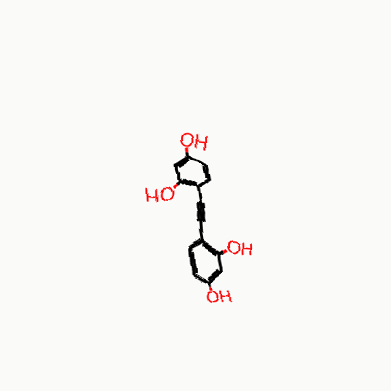 Oc1ccc(C#Cc2ccc(O)cc2O)c(O)c1